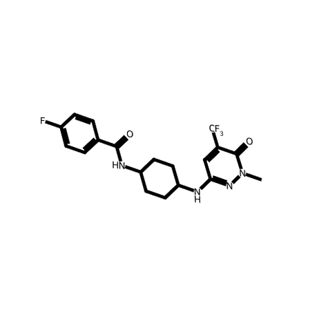 Cn1nc(NC2CCC(NC(=O)c3ccc(F)cc3)CC2)cc(C(F)(F)F)c1=O